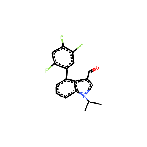 CC(C)n1cc(C=O)c2c(-c3cc(F)c(F)cc3F)cccc21